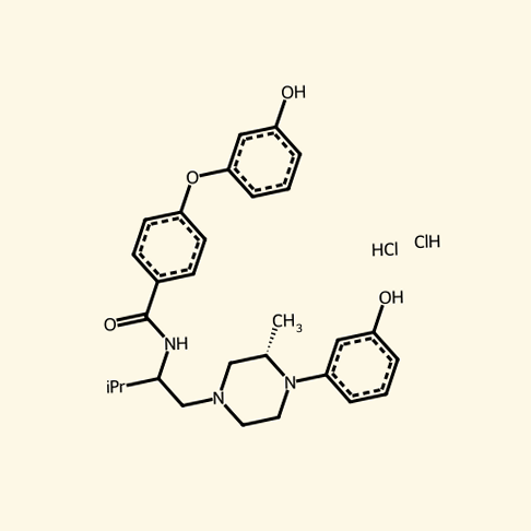 CC(C)C(CN1CCN(c2cccc(O)c2)[C@@H](C)C1)NC(=O)c1ccc(Oc2cccc(O)c2)cc1.Cl.Cl